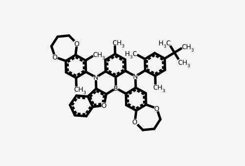 Cc1cc2c3c(c1)N(c1c(C)cc4c(c1C)OCCCO4)c1c(oc4ccccc14)B3c1cc3c(cc1N2c1c(C)cc(C(C)(C)C)cc1C)OCCCO3